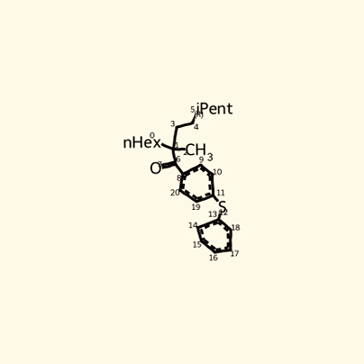 CCCCCCC(C)(CC[C@H](C)CCC)C(=O)c1ccc(Sc2ccccc2)cc1